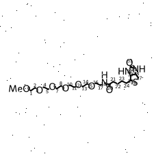 COCCOCCOCCOCCOCCOCCNC(=O)CCCCC1SCC2NC(=O)NC21